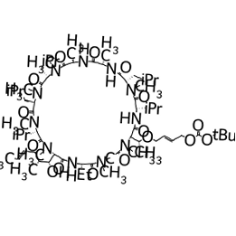 C/C=C/C[C@@H](C)[C@@H](O)[C@H]1C(=O)N[C@@H](CC)C(=O)N(C)CC(=O)N(C)[C@@H]([C@@H](C)OC/C=C/COC(=O)OC(C)(C)C)C(=O)N[C@@H](C(C)C)C(=O)N(C)[C@@H](CC(C)C)C(=O)N[C@@H](C)C(=O)N[C@H](C)C(=O)N(C)[C@@H](CC(C)C)C(=O)N(C)[C@H](CC(C)C)C(=O)N(C)[C@@H](C(C)C)C(=O)N1C